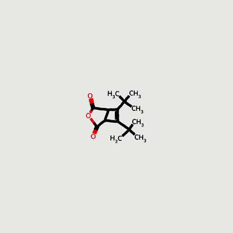 CC(C)(C)C1=C(C(C)(C)C)C2C(=O)OC(=O)C12